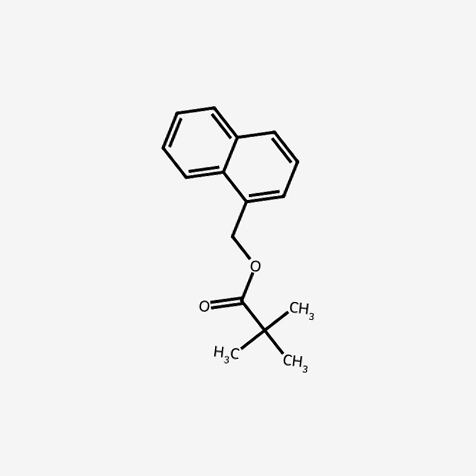 CC(C)(C)C(=O)OCc1cccc2ccccc12